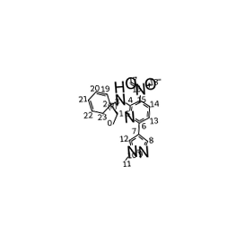 CC[C@]1(Nc2nc(-c3cnn(C)c3)ccc2[N+](=O)[O-])C=CC=CC1